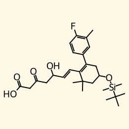 Cc1cc(C2=C(C=CC(O)CC(=O)CC(=O)O)C(C)(C)CC(O[Si](C)(C)C(C)(C)C)C2)ccc1F